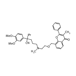 COc1ccc(C(C#N)(CCCN(C)CCOCc2cccc3c(=O)c(C)c(-c4ccccc4)oc23)C(C)C)cc1OC